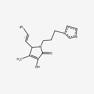 CC1=C(O)C(=O)N(CCCn2ccnc2)C1/C=C/C(C)C